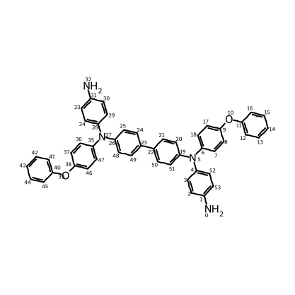 Nc1ccc(N(c2ccc(Oc3ccccc3)cc2)c2ccc(-c3ccc(N(c4ccc(N)cc4)c4ccc(Oc5ccccc5)cc4)cc3)cc2)cc1